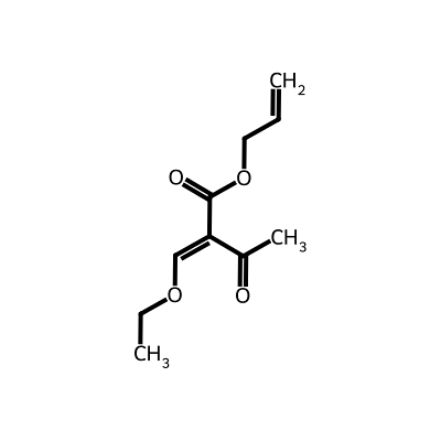 C=CCOC(=O)/C(=C/OCC)C(C)=O